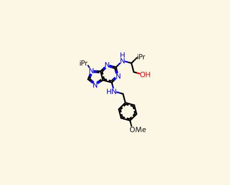 COc1ccc(CNc2nc(NC(CO)C(C)C)nc3c2ncn3C(C)C)cc1